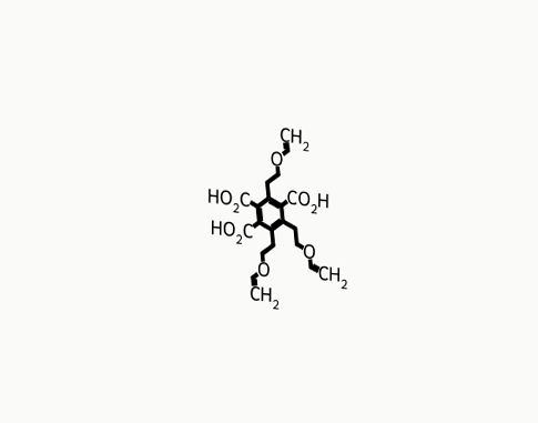 C=COCCc1c(CCOC=C)c(C(=O)O)c(C(=O)O)c(CCOC=C)c1C(=O)O